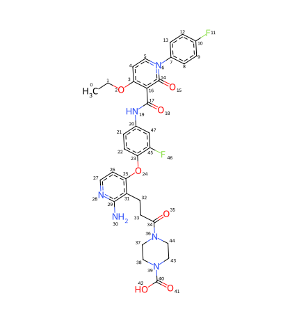 CCOc1ccn(-c2ccc(F)cc2)c(=O)c1C(=O)Nc1ccc(Oc2ccnc(N)c2CCC(=O)N2CCN(C(=O)O)CC2)c(F)c1